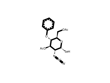 CC(=O)OC[C@H]1O[C@H]([SeH])[C@H](N=[N+]=[N-])[C@@H](OC(C)=O)[C@@H]1Oc1ccccc1